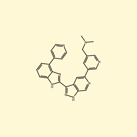 CN(C)Cc1cncc(-c2cc3c(-c4nc5c(-c6ccncc6)cccc5[nH]4)n[nH]c3cn2)c1